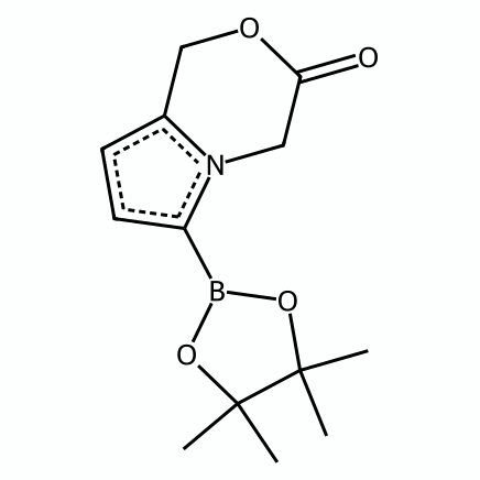 CC1(C)OB(c2ccc3n2CC(=O)OC3)OC1(C)C